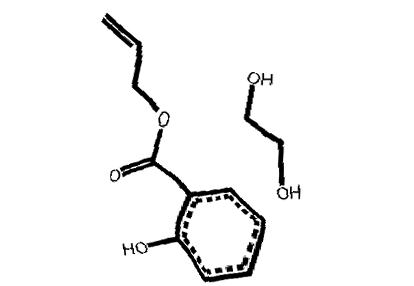 C=CCOC(=O)c1ccccc1O.OCCO